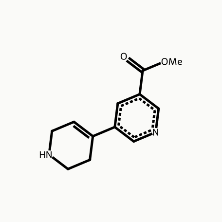 COC(=O)c1cncc(C2=CCNCC2)c1